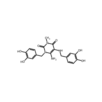 Cn1c(=O)c(NCc2ccc(O)c(O)c2)c(N)n(Cc2ccc(O)c(O)c2)c1=O